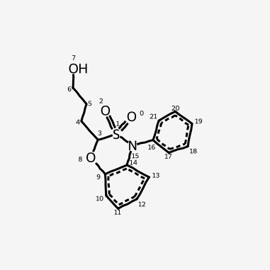 O=S1(=O)C(CCCO)Oc2ccccc2N1c1ccccc1